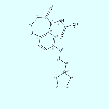 O=C(O)NN1C(=O)CCCc2ccc(OCCN3CCCC3)cc21